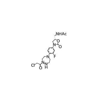 CC(=O)NC[C@H]1CN(c2ccc(N3CCNN(C(=O)CCl)CC3)c(F)c2)C(=O)O1